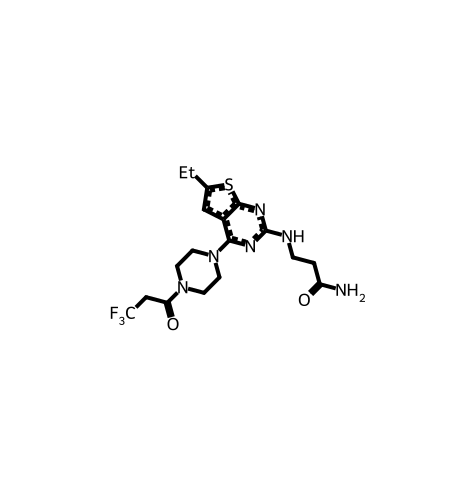 CCc1cc2c(N3CCN(C(=O)CC(F)(F)F)CC3)nc(NCCC(N)=O)nc2s1